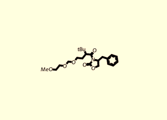 COCCOCOCCC(C(=O)N1C(=O)OCC1Cc1ccccc1)C(C)(C)C